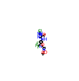 CO[C@@H](C)c1c(Nc2ccc([C@H](N(C)C(=O)C3CCN(C(=O)OC(C)(C)C)C3)C(F)(F)F)cc2)cnc2nc(Cl)nn12